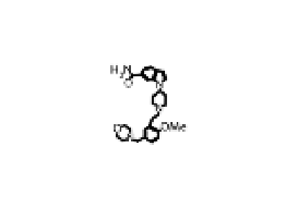 COc1ccc(CN2CCOCC2)cc1CCN1CCC(n2ccc3ccc(C(N)=O)cc32)CC1